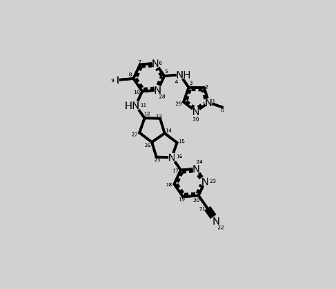 Cn1cc(Nc2ncc(I)c(NC3CC4CN(c5ccc(C#N)nn5)CC4C3)n2)cn1